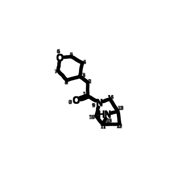 O=C(CC1CCOCC1)N1CC2CC(C1)N2